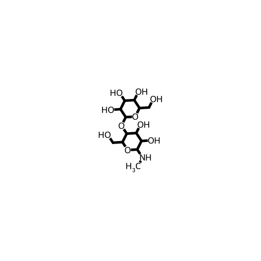 CNC1OC(CO)C(OC2OC(CO)C(O)C(O)C2O)C(O)C1O